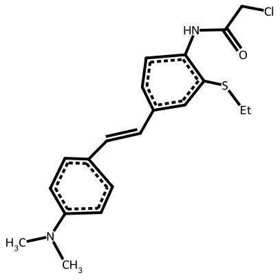 CCSc1cc(/C=C/c2ccc(N(C)C)cc2)ccc1NC(=O)CCl